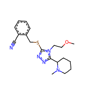 COCCn1c(SCc2ccccc2C#N)nnc1C1CCCCN1C